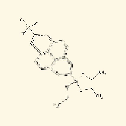 CCO[Si](OCC)(OCC)c1cc2ccc3cc([Si](Cl)(Cl)Cl)cc4ccc(c1)c2c34